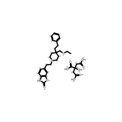 CCOCC1(CCc2ccccc2)CCN(CCc2ccc3[nH]c(=O)oc3c2)CC1.O=C(O)CC(O)(CC(=O)O)C(=O)O